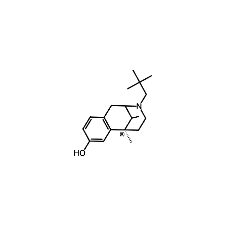 CC1C2Cc3ccc(O)cc3[C@]1(C)CCN2CC(C)(C)C